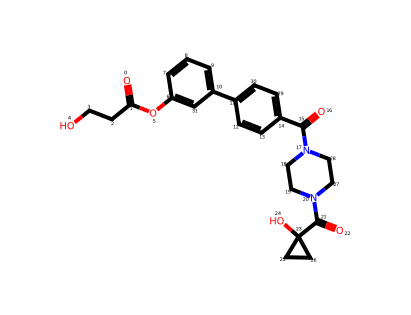 O=C(CCO)Oc1cccc(-c2ccc(C(=O)N3CCN(C(=O)C4(O)CC4)CC3)cc2)c1